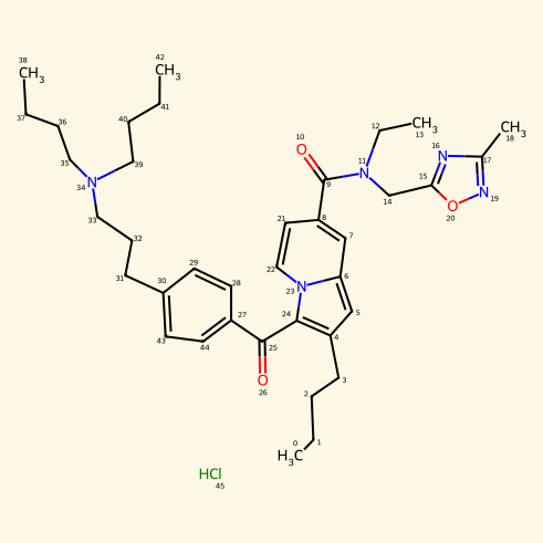 CCCCc1cc2cc(C(=O)N(CC)Cc3nc(C)no3)ccn2c1C(=O)c1ccc(CCCN(CCCC)CCCC)cc1.Cl